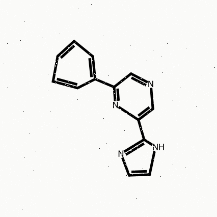 [c]1c[nH]c(-c2cncc(-c3ccccc3)n2)n1